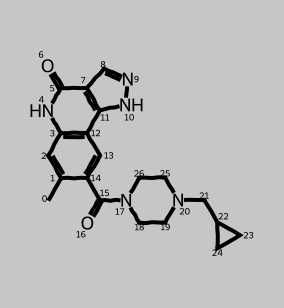 Cc1cc2[nH]c(=O)c3cn[nH]c3c2cc1C(=O)N1CCN(CC2CC2)CC1